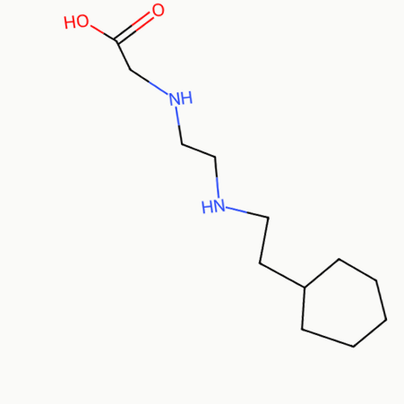 O=C(O)CNCCNCCC1CCCCC1